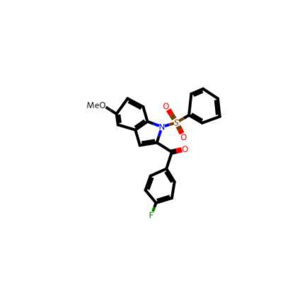 COc1ccc2c(c1)cc(C(=O)c1ccc(F)cc1)n2S(=O)(=O)c1ccccc1